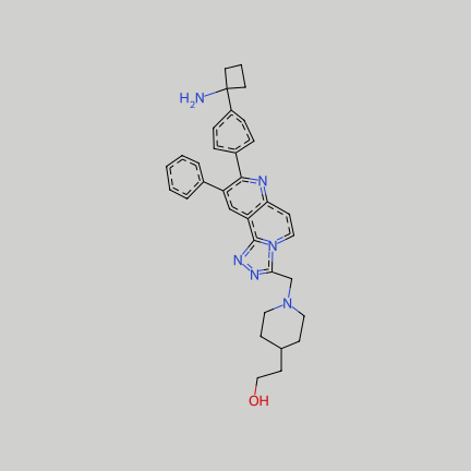 NC1(c2ccc(-c3nc4ccn5c(CN6CCC(CCO)CC6)nnc5c4cc3-c3ccccc3)cc2)CCC1